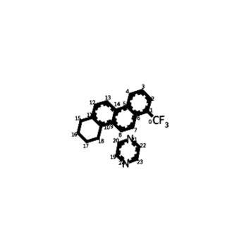 FC(F)(F)c1cccc2c1ccc1c3c(ccc12)CCCC3.c1cnccn1